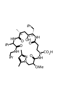 COC(Cn1nc(C)cc1C)C(=O)NN(CCC(=O)N[C@@H](CC(C)C)[C@@H](O)C[C@@H](C)C(=O)NC(C(=O)NCC(C)C)C(C)C)C(=O)O